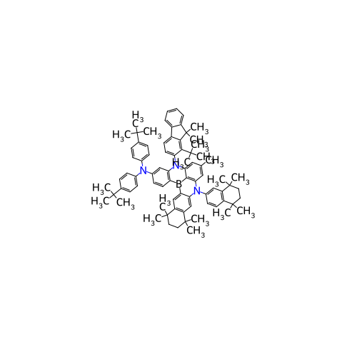 Cc1cc2c3c(c1)N(c1ccc4c(c1C(C)(C)C)C(C)(C)c1ccccc1-4)c1cc(N(c4ccc(C(C)(C)C)cc4)c4ccc(C(C)(C)C)cc4)ccc1B3c1cc3c(cc1N2c1ccc2c(c1)C(C)(C)CCC2(C)C)C(C)(C)CCC3(C)C